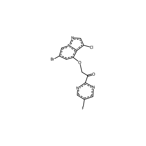 O=C(COc1cc(Br)cn2ncc(Cl)c12)c1ncc(F)cn1